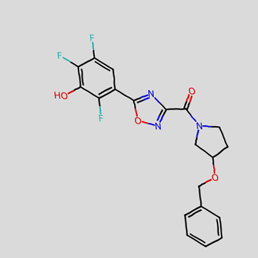 O=C(c1noc(-c2cc(F)c(F)c(O)c2F)n1)N1CCC(OCc2ccccc2)C1